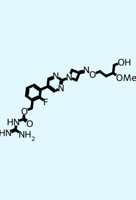 COC(CO)CCON=C1CN(c2ncc(-c3cccc(COC(=O)NC(=N)N)c3F)cn2)C1